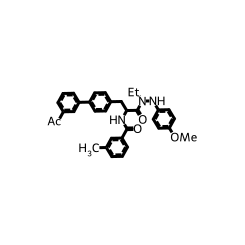 CCN(Nc1ccc(OC)cc1)C(=O)C(Cc1ccc(-c2cccc(C(C)=O)c2)cc1)NC(=O)c1cccc(C)c1